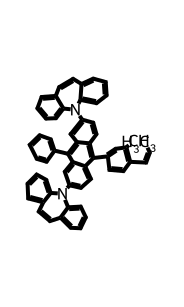 C/C=C\c1ccc(-c2c3ccc(N4c5ccccc5C=Cc5ccccc54)cc3c(-c3ccccc3)c3cc(N4c5ccccc5C=Cc5ccccc54)ccc23)cc1C